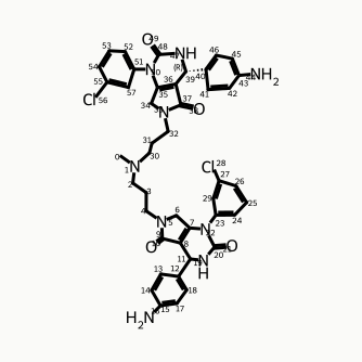 CN(CCCN1CC2=C(C1=O)C(c1ccc(N)cc1)NC(=O)N2c1cccc(Cl)c1)CCCN1CC2=C(C1=O)[C@@H](c1ccc(N)cc1)NC(=O)N2c1cccc(Cl)c1